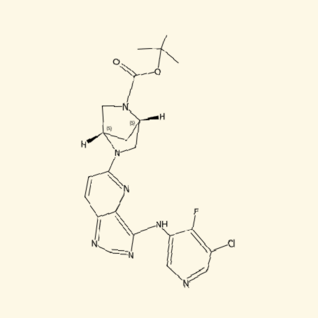 CC(C)(C)OC(=O)N1C[C@@H]2C[C@H]1CN2c1ccc2ncnc(Nc3cncc(Cl)c3F)c2n1